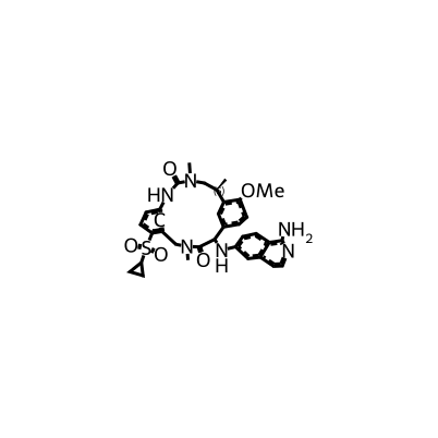 COc1ccc2cc1[C@H](C)CN(C)C(=O)Nc1ccc(S(=O)(=O)C3CC3)c(c1)CN(C)C(=O)C2Nc1ccc2c(N)nccc2c1